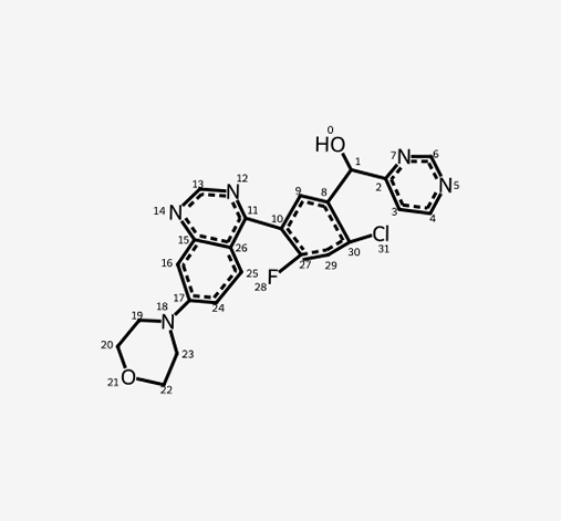 OC(c1ccncn1)c1cc(-c2ncnc3cc(N4CCOCC4)ccc23)c(F)cc1Cl